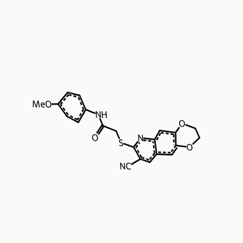 COc1ccc(NC(=O)CSc2nc3cc4c(cc3cc2C#N)OCCO4)cc1